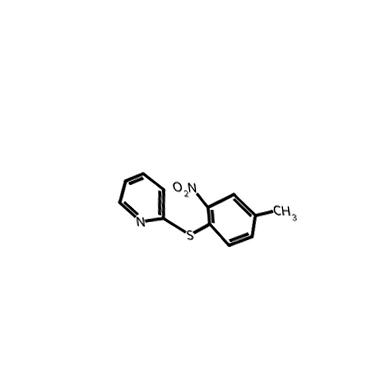 Cc1ccc(Sc2ccccn2)c([N+](=O)[O-])c1